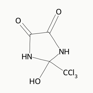 O=C1NC(O)(C(Cl)(Cl)Cl)NC1=O